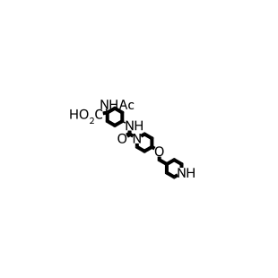 CC(=O)N[C@]1(C(=O)O)CC[C@H](NC(=O)N2CCC(OCC3CCNCC3)CC2)CC1